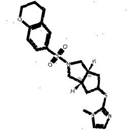 Cn1ccnc1SC1C[C@@H]2CN(S(=O)(=O)c3ccc4c(c3)CCCO4)C[C@@H]2C1